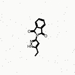 CCc1cc(N2C(=O)c3ccccc3C2=O)n[nH]1